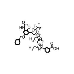 Cc1nc(-c2cccc(C(=O)O)c2)nn1CCC(C)(C)NCC(OC(=O)C(F)(F)F)c1cc(OCc2ccccc2)cc2c1OCC(=O)N2